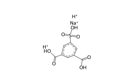 O=C(O)c1cc(C(=O)O)cc(S(=O)(=O)O)c1.[H+].[H+].[Na+]